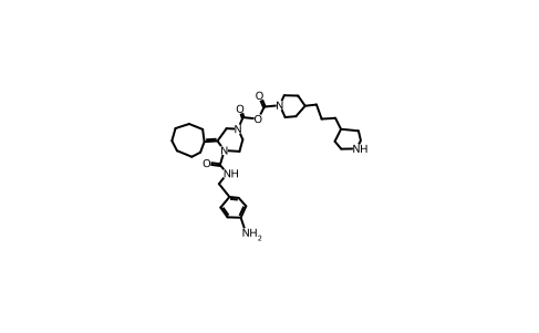 Nc1ccc(CNC(=O)N2CCN(C(=O)OC(=O)N3CCC(CCCC4CCNCC4)CC3)CC2=C2CCCCCCC2)cc1